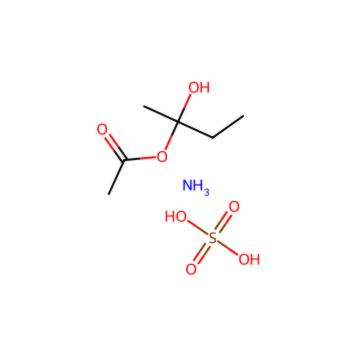 CCC(C)(O)OC(C)=O.N.O=S(=O)(O)O